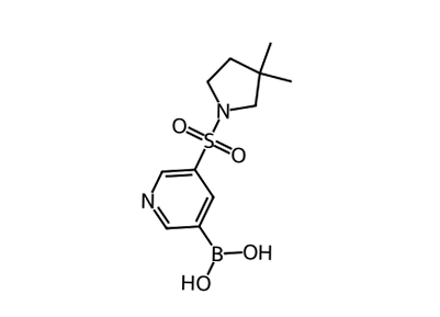 CC1(C)CCN(S(=O)(=O)c2cncc(B(O)O)c2)C1